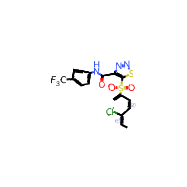 C=C(/C=C\C(Cl)=C/C)S(=O)(=O)c1snnc1C(=O)Nc1ccc(C(F)(F)F)cc1